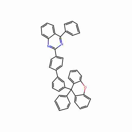 c1ccc(-c2nc(-c3ccc(-c4cccc(C5(c6ccccc6)c6ccccc6Oc6ccccc65)c4)cc3)nc3ccccc23)cc1